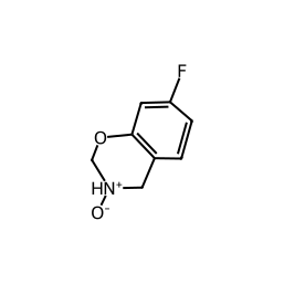 [O-][NH+]1COc2cc(F)ccc2C1